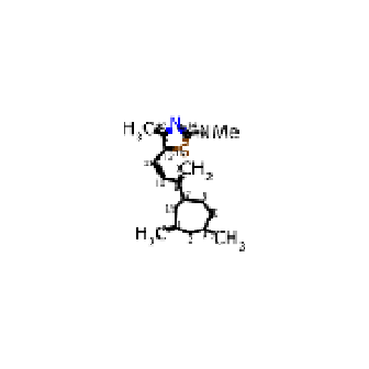 C=C1CC(C)CCC(C(=C)/C=C\c2sc(NC)nc2C)C1